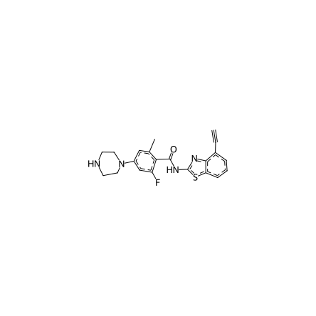 C#Cc1cccc2sc(NC(=O)c3c(C)cc(N4CCNCC4)cc3F)nc12